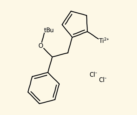 CC(C)(C)OC(CC1=[C]([Ti+2])CC=C1)c1ccccc1.[Cl-].[Cl-]